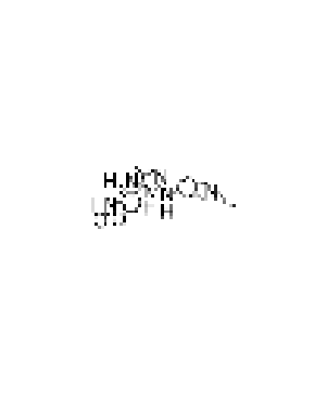 CCCN1Cc2ccc(NC3=NC=C(C)C(N)(c4ccc5oc(=O)[nH]c5c4)N3)cc2C1